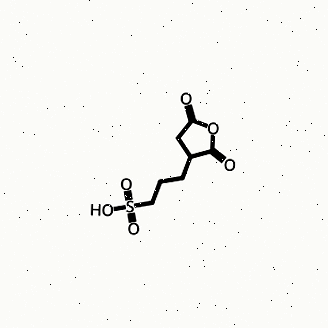 O=C1CC(CCCS(=O)(=O)O)C(=O)O1